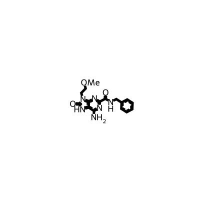 COCCn1c(=O)[nH]c2c(N)nc(C(=O)NCc3ccccc3)nc21